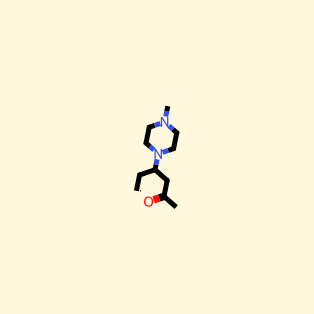 [CH2]CC(CC(C)=O)N1CCN(C)CC1